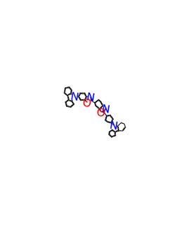 C1=Cc2c(n(-c3ccc(-c4nc5ccc(-c6nc7ccc(-n8c9ccccc9c9ccccc98)cc7o6)cc5o4)cc3)c3ccccc23)CC1